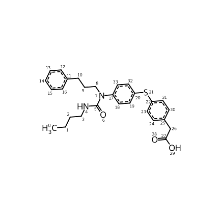 CCCCNC(=O)N(CCCc1ccccc1)c1ccc(Sc2ccc(CC(=O)O)cc2)cc1